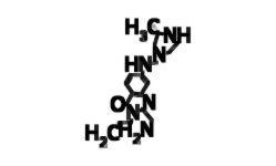 C=CCn1c(CN)nc2cc(NCN3CCN[C@@H](C)C3)ccc2c1=O